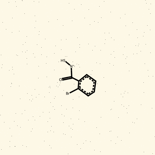 O=C([N+]S)c1ccccc1Br